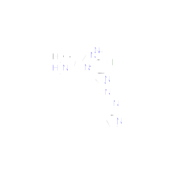 C=C/C(=C\N)c1cn2ncc(Cl)c2c(-c2ccc(N3CCN(Cc4ccccn4)CC3)nc2)n1